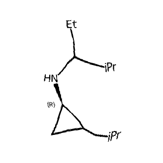 CCC(N[C@@H]1CC1C(C)C)C(C)C